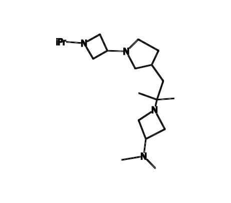 CC(C)N1CC(N2CCC(CC(C)(C)N3CC(N(C)C)C3)C2)C1